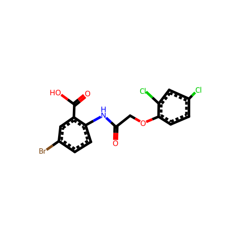 O=C(COc1ccc(Cl)cc1Cl)Nc1ccc(Br)cc1C(=O)O